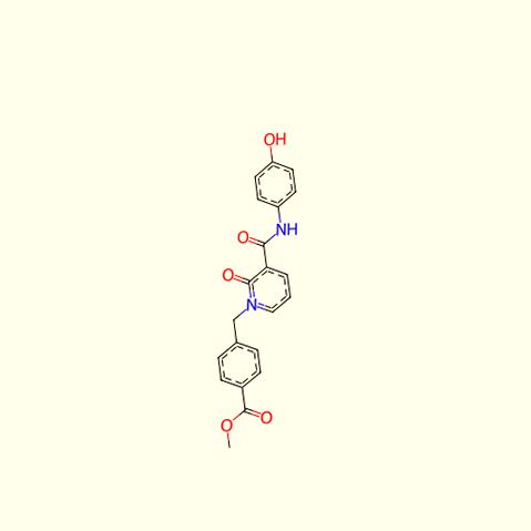 COC(=O)c1ccc(Cn2cccc(C(=O)Nc3ccc(O)cc3)c2=O)cc1